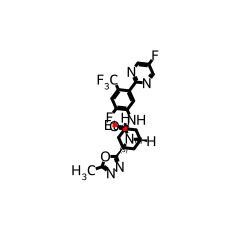 CC[C@@H]1C[C@@H]2C[C@](c3nnc(C)o3)(C1)N2C(=O)Nc1cc(-c2ncc(F)cn2)c(C(F)(F)F)cc1F